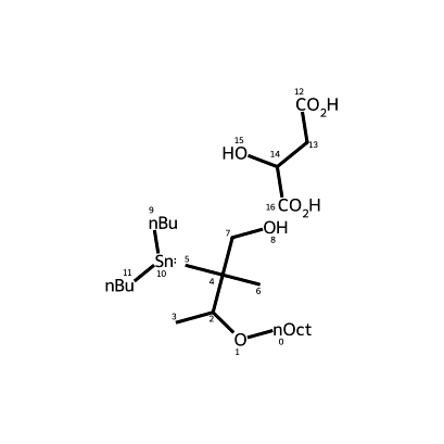 CCCCCCCCOC(C)C(C)(C)CO.CCC[CH2][Sn][CH2]CCC.O=C(O)CC(O)C(=O)O